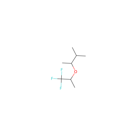 CC(C)C(C)OC(C)C(F)(F)F